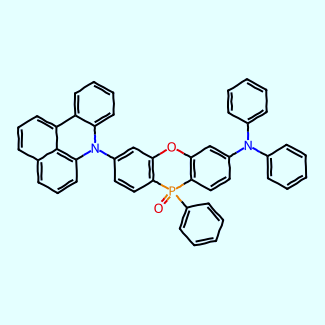 O=P1(c2ccccc2)c2ccc(N(c3ccccc3)c3ccccc3)cc2Oc2cc(N3c4ccccc4-c4cccc5cccc3c45)ccc21